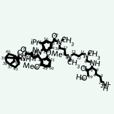 [2H]NCCCCC(NCN(C)CCCN(C)CCCN(C)C(=O)c1ccc(-n2nc(C(=O)NC3(C(=O)O)C4CC5CC(C4)CC3C5)cc2-c2c(OC)cccc2OC)c(C(C)C)c1)C(=O)CO